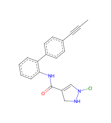 CC#Cc1ccc(-c2ccccc2NC(=O)C2=CN(Cl)NC2)cc1